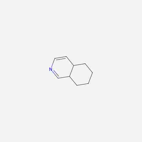 C1=CC2CCCCC2C=N1